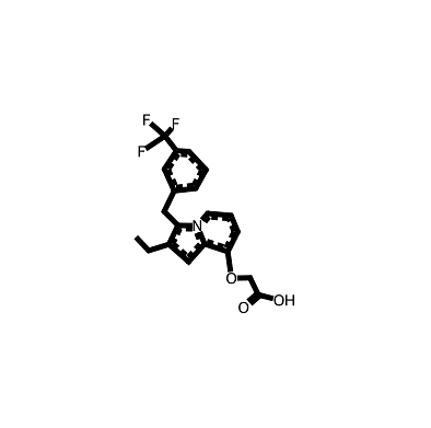 CCc1cc2c(OCC(=O)O)cccn2c1Cc1cccc(C(F)(F)F)c1